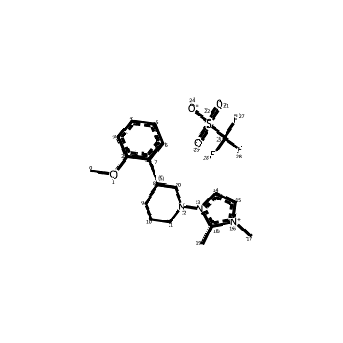 COc1ccccc1[C@@H]1CCCN(n2cc[n+](C)c2C)C1.O=S(=O)([O-])C(F)(F)F